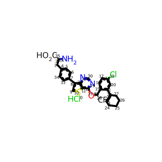 Cl.N[C@@H](Cc1ccc(-c2csc3c(O[C@H](c4ccc(Cl)cc4C4=CCCCC4)C(F)(F)F)ncnc23)cc1)C(=O)O